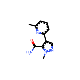 Cc1cccc(-c2cnn(C)c2C(N)=O)n1